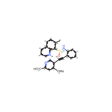 COc1cc(C(=O)O)ncc1C#Cc1ccccc1N[S+]([O-])c1c(C)ccc2cccnc12